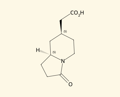 O=C(O)C[C@H]1CCN2C(=O)CC[C@H]2C1